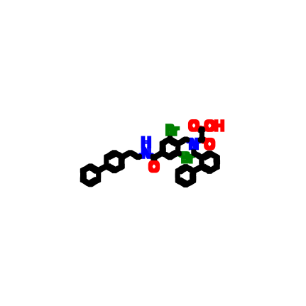 O=C(O)C(=O)N(Cc1ccccc1-c1ccccc1)Cc1c(Br)cc(C(=O)NCCc2ccc(-c3ccccc3)cc2)cc1Br